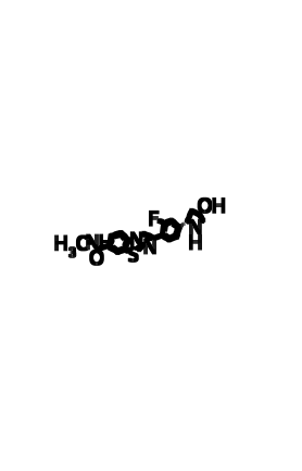 CNC(=O)c1ccc2c(c1)sc1nc(-c3ccc([C@@H]4C[C@H](O)CN4)cc3F)cn12